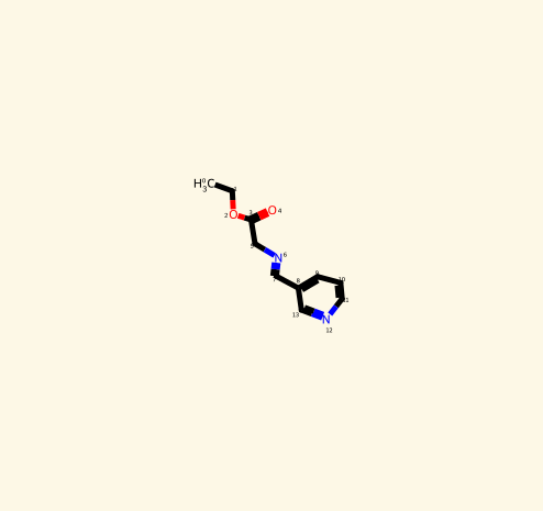 CCOC(=O)CN=Cc1cccnc1